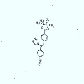 [C-]#[N+]c1ccc(N(Cc2ccc(B3OC(C)(C)C(C)(C)O3)cc2)n2cnnc2)cc1